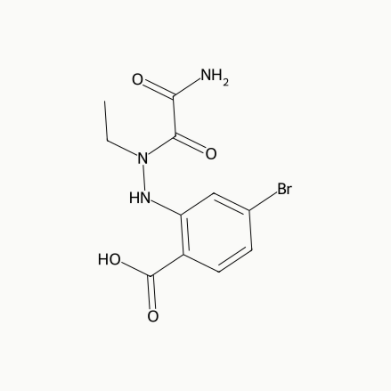 CCN(Nc1cc(Br)ccc1C(=O)O)C(=O)C(N)=O